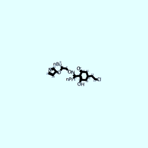 CCCCC(CO/N=C(\CCC)C1=C(O)CC(CCCl)CC1=O)OC1C=CN=C1